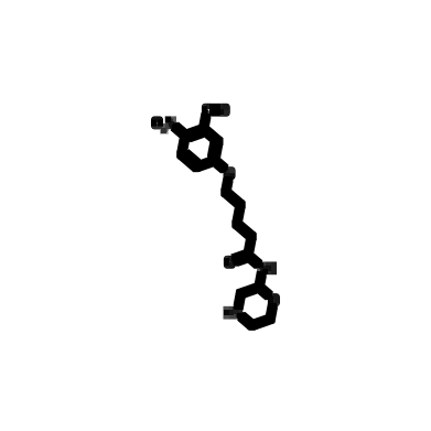 O=Cc1cc(OCCCCC(=O)NC2CNCCO2)ccc1[N+](=O)[O-]